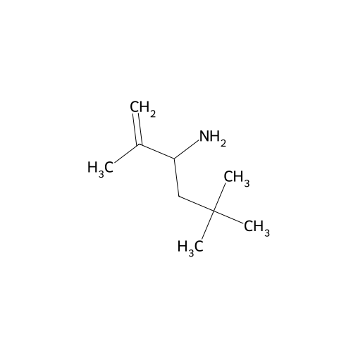 C=C(C)C(N)CC(C)(C)C